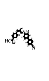 CC(=Cc1ccc(C(=O)O)cc1)CNc1ccc(-c2ccc(C#N)cc2)cc1